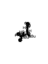 CC(C)(C)OC(=O)N[C@@H](CCN(C(=O)CO)[C@@H](c1nc(-c2cc(F)ccc2F)cn1Cc1ccccc1)C(C)(C)C)C(=O)ONCCNC(=O)CN1C(=O)C=CC1=O